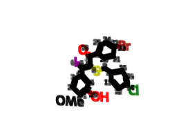 COc1ccc(C(I)=C(SCc2ccc(Cl)cc2)C(=O)c2ccc(Br)cc2)cc1O